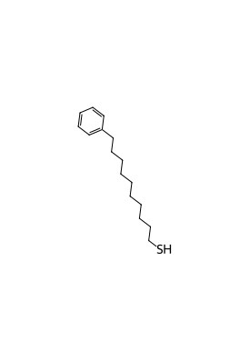 SCCCCCCCCCCc1ccccc1